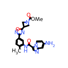 COC(=O)N1CC(c2nc(-c3ccc(C)c(NC(=O)c4cnc5cc(N)ccn45)c3)no2)C1